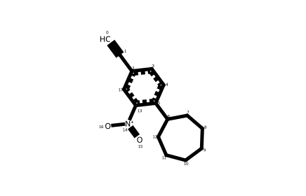 C#Cc1ccc(C2CCCCCC2)c([N+](=O)[O-])c1